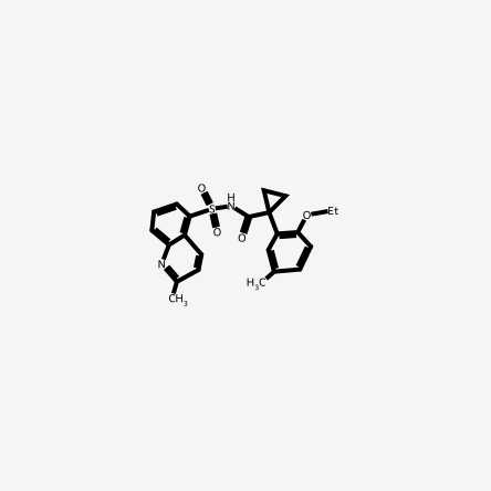 CCOc1ccc(C)cc1C1(C(=O)NS(=O)(=O)c2cccc3nc(C)ccc23)CC1